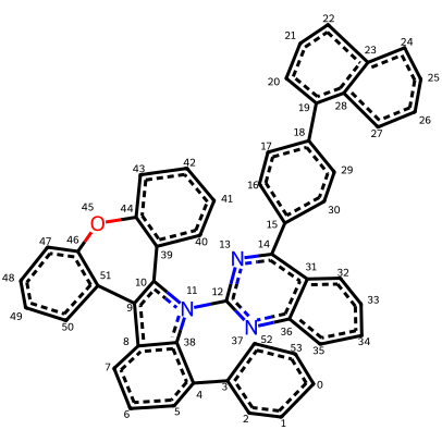 c1ccc(-c2cccc3c4c(n(-c5nc(-c6ccc(-c7cccc8ccccc78)cc6)c6ccccc6n5)c23)-c2ccccc2Oc2ccccc2-4)cc1